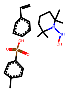 C=Cc1ccccc1.CC1(C)CCCC(C)(C)N1NO.Cc1ccc(S(=O)(=O)O)cc1